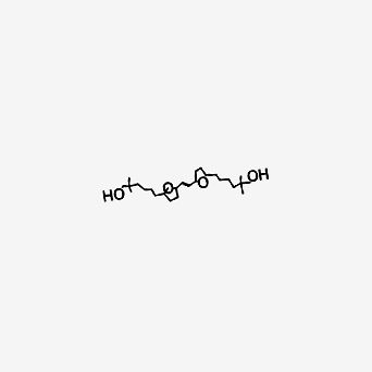 CC(C)(CO)CCCCC1CCC(C=CC2CCC(CCCCC(C)(C)CO)O2)O1